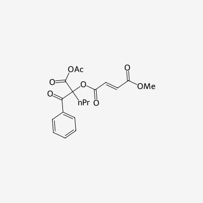 CCCC(OC(=O)C=CC(=O)OC)(C(=O)OC(C)=O)C(=O)c1ccccc1